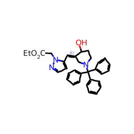 CCOC(=O)Cn1nccc1/C=C1\CN(C(c2ccccc2)(c2ccccc2)c2ccccc2)CCC1O